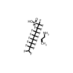 C=CCN.O=S(=O)(O)C(F)(F)C(F)(F)C(F)(F)C(F)(F)C(F)(F)C(F)(F)C(F)(F)C(F)F